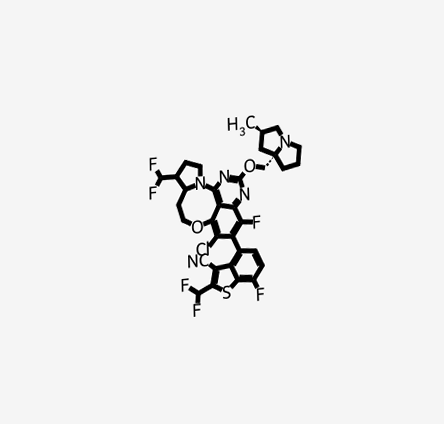 C[C@H]1CN2CCC[C@@]2(COc2nc3c4c(c(Cl)c(-c5ccc(F)c6sc(C(F)F)c(C#N)c56)c(F)c4n2)OCCC2C(C(F)F)CCN32)C1